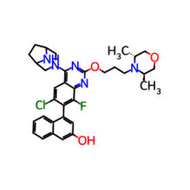 C[C@@H]1COC[C@@H](C)N1CCCOc1nc(N2CC3CCC(C2)N3)c2cc(Cl)c(-c3cc(O)cc4ccccc34)c(F)c2n1